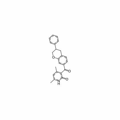 Cc1cc(C)c(C(=O)c2ccc3c(c2)OCC(c2ccccc2)C3)c(=O)[nH]1